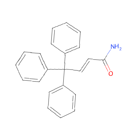 NC(=O)C=CC(c1ccccc1)(c1ccccc1)c1ccccc1